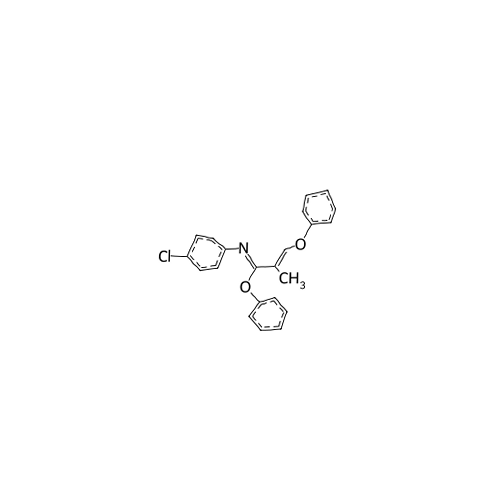 C/C(=C\Oc1ccccc1)C(=Nc1ccc(Cl)cc1)Oc1ccccc1